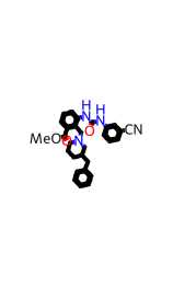 COC(=O)c1cccc(NC(=O)Nc2cccc(C#N)c2)c1CN1CCCC(Cc2ccccc2)C1